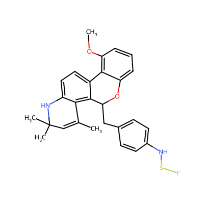 COc1cccc2c1-c1ccc3c(c1C(Cc1ccc(NSF)cc1)O2)C(C)=CC(C)(C)N3